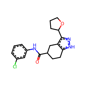 O=C(Nc1cccc(Cl)c1)C1CCc2[nH]nc(C3CCCO3)c2C1